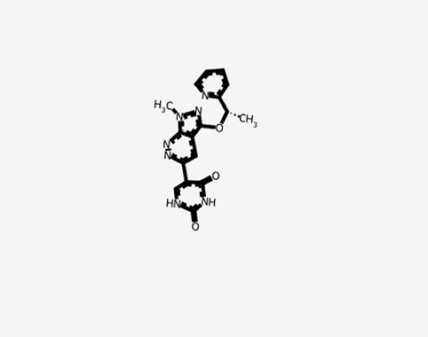 C[C@H](Oc1nn(C)c2nnc(-c3c[nH]c(=O)[nH]c3=O)cc12)c1ccccn1